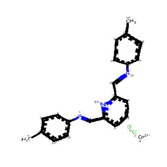 Cc1ccc(N=Cc2cccc(C=Nc3ccc(C)cc3)n2)cc1.[Cl-].[Cl-].[Co+2]